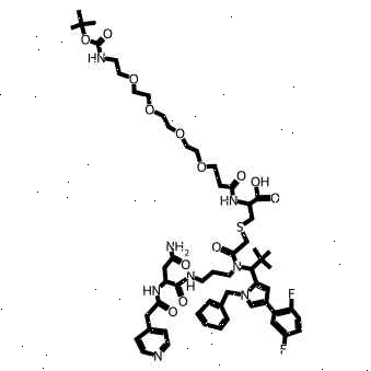 CC(C)(C)OC(=O)NCCOCCOCCOCCOCCC(=O)NC(CSCC(=O)N(CCCNC(=O)C(CC(N)=O)NC(=O)Cc1ccncc1)C(c1cc(-c2cc(F)ccc2F)cn1Cc1ccccc1)C(C)(C)C)C(=O)O